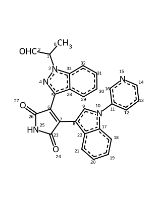 CC(C=O)n1nc(C2=C(c3cn(-c4cccnc4)c4ccccc34)C(=O)NC2=O)c2ccccc21